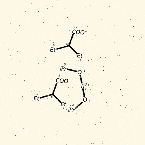 CC(C)[O][Ti+2][O]C(C)C.CCC(CC)C(=O)[O-].CCC(CC)C(=O)[O-]